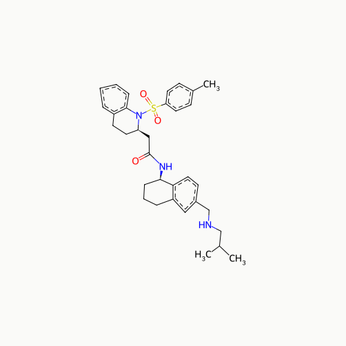 Cc1ccc(S(=O)(=O)N2c3ccccc3CC[C@@H]2CC(=O)N[C@@H]2CCCc3cc(CNCC(C)C)ccc32)cc1